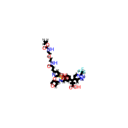 Cc1ccc(C(c2ccn3c(C(F)(F)F)nnc3c2C)C(C)(C)C(=O)O)cc1CN1CC2(CCOCC2)Oc2nc(CCC(=O)NCCOCCNC(=O)OC(C)(C)C)ccc2S1(O)O